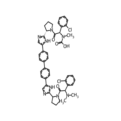 CN(C)C(C(=O)N1CCCC1c1ncc(-c2ccc(-c3ccc(-c4cnc([C@@H]5CCCN5C(=O)[C@@H](c5ccccc5Cl)N(C)C(=O)O)[nH]4)cc3)cc2)[nH]1)c1ccccc1Cl